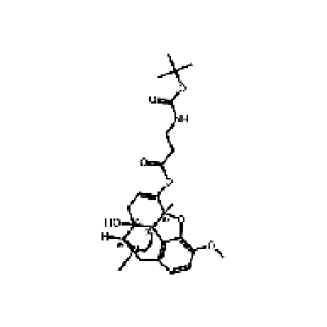 COc1ccc2c3c1O[C@H]1C(OC(=O)CCNC(=O)OC(C)(C)C)=CC[C@@]4(O)[C@@H](C2)N(C)CC[C@]314